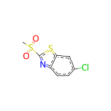 CS(=O)(=O)c1nc2ccc(Cl)cc2s1